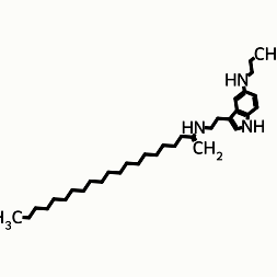 C=C(CCCCCCCCCCCCCCCCCCC)NCCc1c[nH]c2ccc(NCCC)cc12